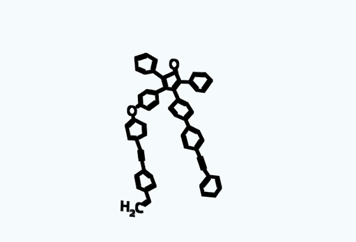 C=Cc1ccc(C#Cc2ccc(Oc3ccc(C4=C(c5ccccc5)C(=O)C(c5ccccc5)=C4c4ccc(-c5ccc(C#Cc6ccccc6)cc5)cc4)cc3)cc2)cc1